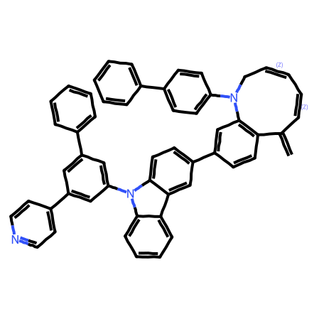 C=C1/C=C\C=C/CN(c2ccc(-c3ccccc3)cc2)c2cc(-c3ccc4c(c3)c3ccccc3n4-c3cc(-c4ccccc4)cc(-c4ccncc4)c3)ccc21